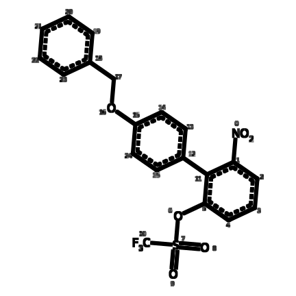 O=[N+]([O-])c1cccc(OS(=O)(=O)C(F)(F)F)c1-c1ccc(OCc2ccccc2)cc1